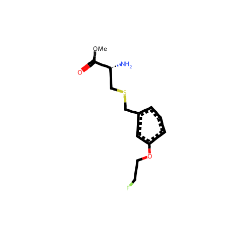 COC(=O)[C@H](N)CSCc1cccc(OCCF)c1